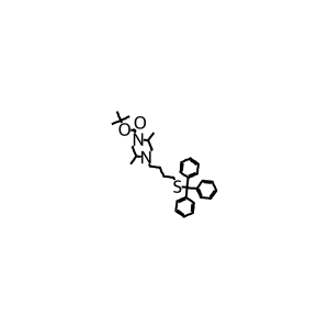 CC1CN(C(=O)OC(C)(C)C)C(C)CN1CCCCSC(c1ccccc1)(c1ccccc1)c1ccccc1